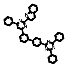 c1ccc(-c2cc(-c3cccc(-c4ccc(-c5nc(-c6ccccc6)nc(-c6ccccc6)n5)cc4)c3)nc(-c3ccc4ccccc4n3)n2)cc1